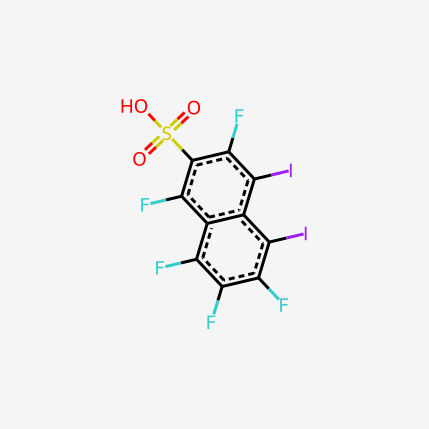 O=S(=O)(O)c1c(F)c(I)c2c(I)c(F)c(F)c(F)c2c1F